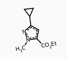 CCOC(=O)c1cc(C2CC2)nn1C